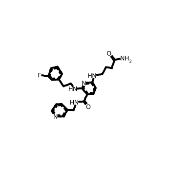 NC(=O)CCCNc1ccc(C(=O)NCc2cccnc2)c(NCCc2cccc(F)c2)n1